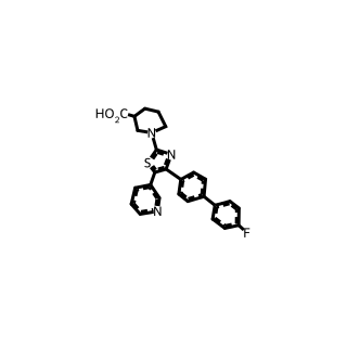 O=C(O)C1CCCN(c2nc(-c3ccc(-c4ccc(F)cc4)cc3)c(-c3cccnc3)s2)C1